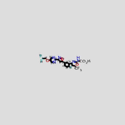 C[C@@]1(c2cc(-c3cc(-c4ncc(OCC(F)F)cn4)no3)ccc2F)C[C@@H](C(F)(F)F)OC(NC(=O)O)=N1